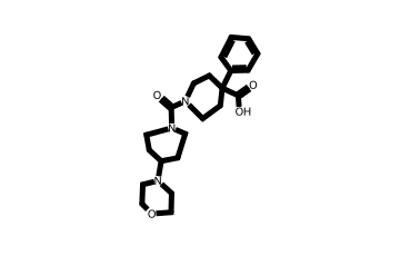 O=C(N1CCC(N2CCOCC2)CC1)N1CCC(C(=O)O)(c2ccccc2)CC1